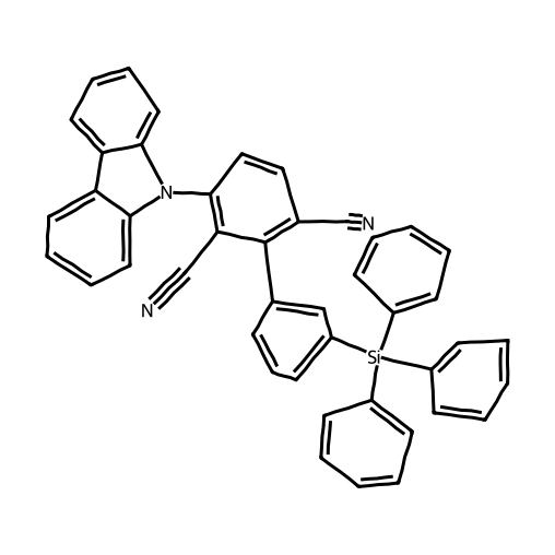 N#Cc1ccc(-n2c3ccccc3c3ccccc32)c(C#N)c1-c1cccc([Si](c2ccccc2)(c2ccccc2)c2ccccc2)c1